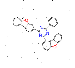 C1=CC2Oc3ccccc3C2C(c2nc(-c3ccccc3)nc(-c3ccc4c(c3)oc3ccccc34)n2)=C1